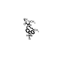 CCCCc1nc(SC)c(C(=O)OCC)n1Cc1cccc(-c2ccccc2S(=O)(=O)NC#N)c1